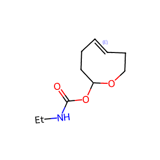 CCNC(=O)OC1CC/C=C/CCO1